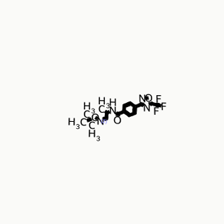 CC(/C=N\OC(C)(C)C)NC(=O)c1ccc(-c2noc(C(F)(F)F)n2)cc1